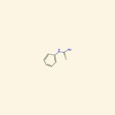 [NH]C(=S)Nc1ccccc1